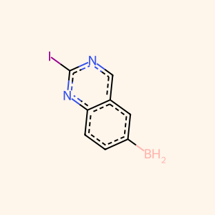 Bc1ccc2nc(I)ncc2c1